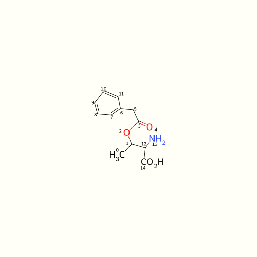 CC(OC(=O)Cc1ccccc1)C(N)C(=O)O